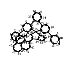 c1ccc(-c2ccc3c(c2)C2(c4cc(-c5ccncc5)ccc4-c4ccccc4-3)c3ccccc3-c3c2cc2ccc4cccc5ccc3c2c45)cc1